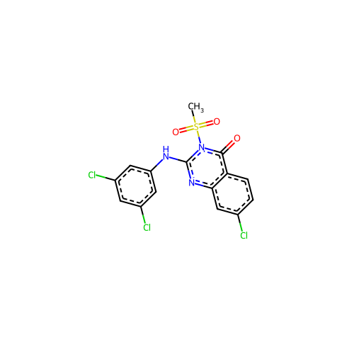 CS(=O)(=O)n1c(Nc2cc(Cl)cc(Cl)c2)nc2cc(Cl)ccc2c1=O